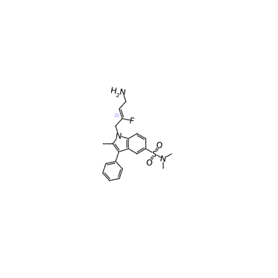 Cc1c(-c2ccccc2)c2cc(S(=O)(=O)N(C)C)ccc2n1C/C(F)=C/CN